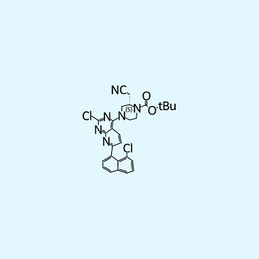 CC(C)(C)OC(=O)N1CCN(c2nc(Cl)nc3nc(-c4cccc5cccc(Cl)c45)ccc23)C[C@@H]1CC#N